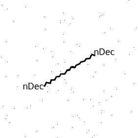 CCCCCCCCCCCCCCCCCCC=CC=CCCCCCCCCCCCCCCCCCCC